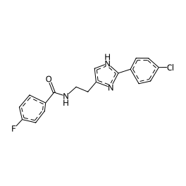 O=C(NCCc1c[nH]c(-c2ccc(Cl)cc2)n1)c1ccc(F)cc1